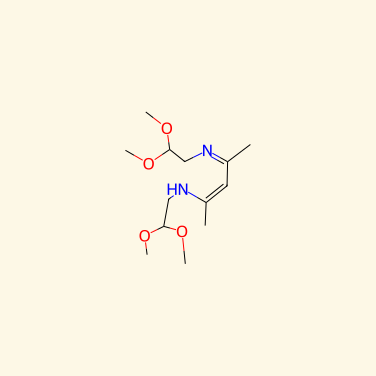 COC(C/N=C(C)\C=C(\C)NCC(OC)OC)OC